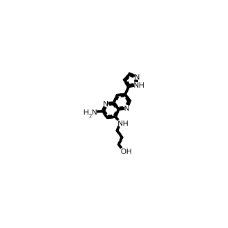 Nc1cc(NCCCO)c2ncc(-c3ccn[nH]3)cc2n1